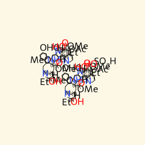 CC[C@]1(O)C[C@H]2C[N@](CCc3c([nH]c4ccccc34)[C@@](C(=O)OC)(c3cc4c(cc3OC)N(C=O)[C@H]3[C@@](O)(C(=O)OC)[C@H](OC(C)=O)[C@]5(CC)C=CCN6CC[C@]43[C@@H]65)C2)C1.CC[C@]1(O)C[C@H]2C[N@](CCc3c([nH]c4ccccc34)[C@@](C(=O)OC)(c3cc4c(cc3OC)N(C=O)[C@H]3[C@@](O)(C(=O)OC)[C@H](OC(C)=O)[C@]5(CC)C=CCN6CC[C@]43[C@@H]65)C2)C1.O=S(=O)(O)O